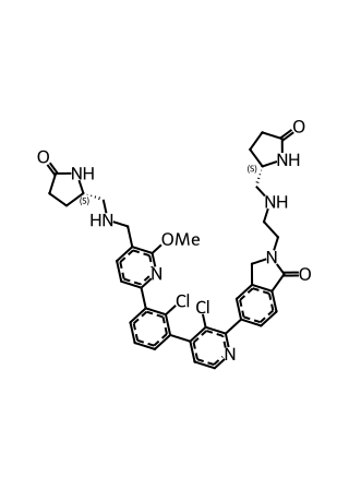 COc1nc(-c2cccc(-c3ccnc(-c4ccc5c(c4)CN(CCNC[C@@H]4CCC(=O)N4)C5=O)c3Cl)c2Cl)ccc1CNC[C@@H]1CCC(=O)N1